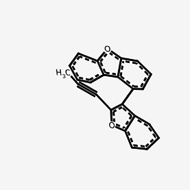 CC#Cc1oc2ccccc2c1-c1cccc2oc3ccccc3c12